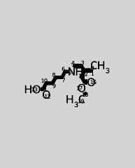 C/C=C(\C=C/NCCCCCC(=O)O)CC(=O)OCC